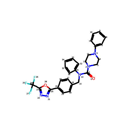 O=C(N1CCN(c2ccccc2)CC1)N(Cc1ccc(-c2nnc(C(F)(F)F)o2)cc1)c1ccccc1